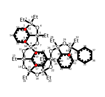 CC[Si](CC)(CC)O[Si](CC)(O[Si](CC)(CC)O[Si](CC)(O[Si](CC)(CC)O[Si](CC)(CC)O[Si](CC)(CC)O[Si](CC)(O[Si](CC)(CC)c1ccccc1)c1ccccc1)c1ccccc1)c1ccccc1